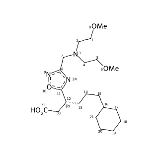 COCCN(CCOC)Cc1noc([C@H](CCCC2CCCCC2)CC(=O)O)n1